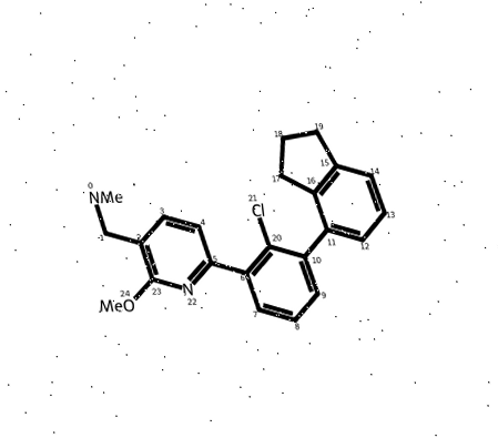 CNCc1ccc(-c2cccc(-c3cccc4c3CCC4)c2Cl)nc1OC